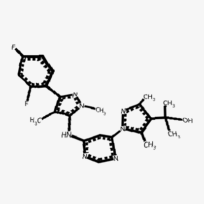 Cc1nn(-c2cc(Nc3c(C)c(-c4ccc(F)cc4F)nn3C)ncn2)c(C)c1C(C)(C)O